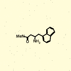 CNC(=O)CC(N)Cc1cccc2ccccc12